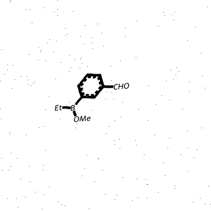 CCB(OC)c1cccc(C=O)c1